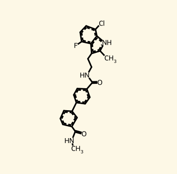 CNC(=O)c1cccc(-c2ccc(C(=O)NCCc3c(C)[nH]c4c(Cl)ccc(F)c34)cc2)c1